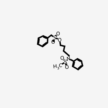 CS(=O)(=O)N(CCCCOS(=O)(=O)Cc1ccccc1)c1ccccc1